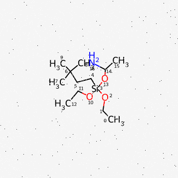 CCO[Si](CCC(C)(C)C)(OCC)OC(C)N